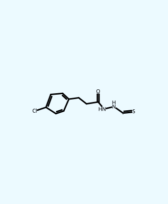 O=C(CCc1ccc(Cl)cc1)NN[C]=S